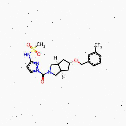 CS(=O)(=O)Nc1ccn(C(=O)N2C[C@H]3C[C@H](OCc4cccc(C(F)(F)F)c4)C[C@H]3C2)n1